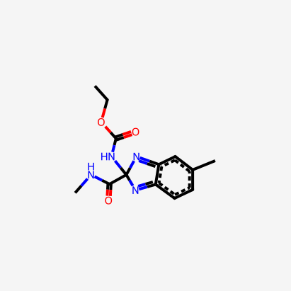 CCOC(=O)NC1(C(=O)NC)N=c2ccc(C)cc2=N1